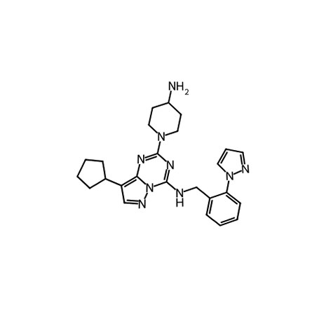 NC1CCN(c2nc(NCc3ccccc3-n3cccn3)n3ncc(C4CCCC4)c3n2)CC1